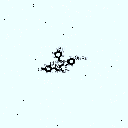 CCCCOc1ccc(C[C@H](NC(=O)C2CCC(C(C)(C)C)CC2)c2nc(-c3ccc(Cl)cc3Cl)cn2CCC)cc1